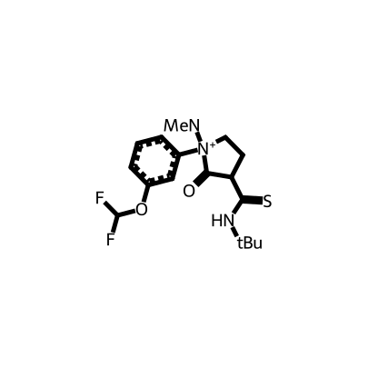 CN[N+]1(c2cccc(OC(F)F)c2)CCC(C(=S)NC(C)(C)C)C1=O